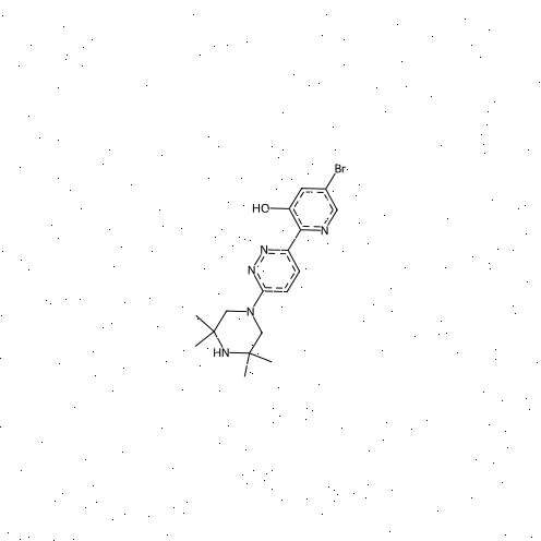 CC1(C)CN(c2ccc(-c3ncc(Br)cc3O)nn2)CC(C)(C)N1